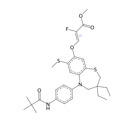 CCC1(CC)CSc2cc(O/C=C(\F)C(=O)OC)c(SC)cc2N(c2ccc(NC(=O)C(C)(C)C)cc2)C1